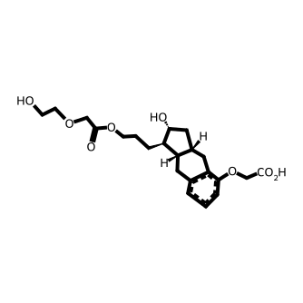 O=C(O)COc1cccc2c1C[C@H]1C[C@@H](O)[C@H](CCCOC(=O)COCCO)[C@H]1C2